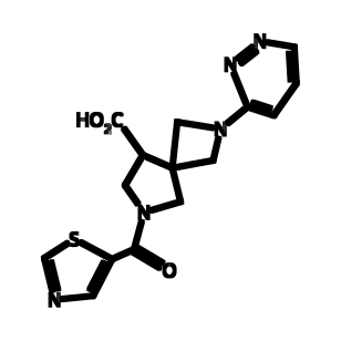 O=C(O)C1CN(C(=O)c2cncs2)CC12CN(c1cccnn1)C2